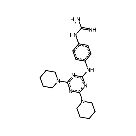 N=C(N)Nc1ccc(Nc2nc(N3CCCCC3)nc(N3CCCCC3)n2)cc1